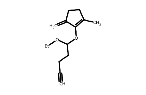 C#CCCC(OCC)OC1=C(C)CCC1=C